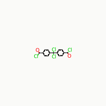 O=C(Cl)c1ccc(C(Cl)(Cl)c2ccc(C(=O)Cl)cc2)cc1